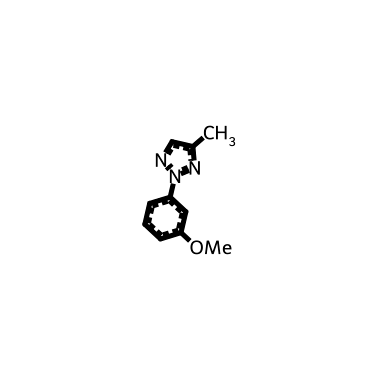 COc1cccc(-n2ncc(C)n2)c1